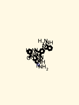 N/N=c1/cc2c(n[nH]1)CCN(C(=O)c1ccccc1)C2.NN=c1[nH][nH]c(=NN)c2ccccc12.NNc1nncc2ccccc12